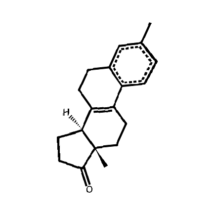 Cc1ccc2c(c1)CCC1=C2CC[C@]2(C)C(=O)CC[C@@H]12